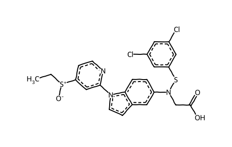 CC[S+]([O-])c1ccnc(-n2ccc3cc(N(CC(=O)O)Sc4cc(Cl)cc(Cl)c4)ccc32)c1